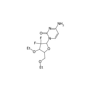 CCOCC1OC(n2ccc(N)nc2=O)C(F)(F)C1OCC